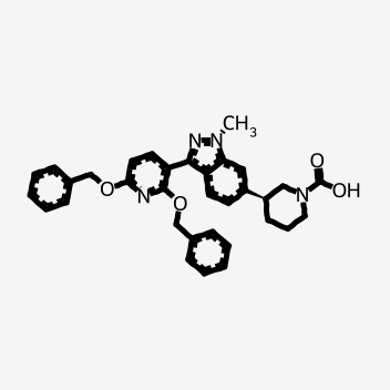 Cn1nc(-c2ccc(OCc3ccccc3)nc2OCc2ccccc2)c2ccc([C@@H]3CCCN(C(=O)O)C3)cc21